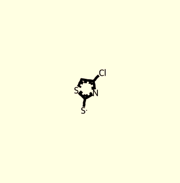 [S]c1nc(Cl)cs1